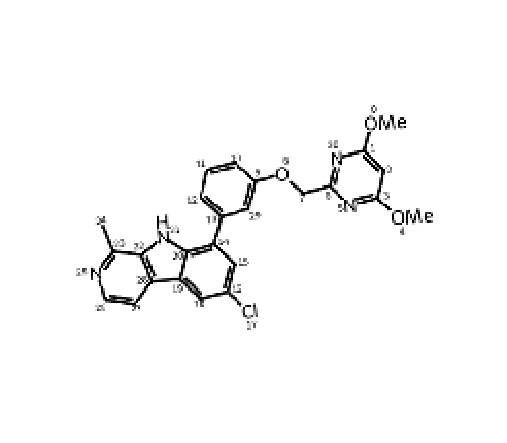 COc1cc(OC)nc(COc2cccc(-c3cc(Cl)cc4c3[nH]c3c(C)nccc34)c2)n1